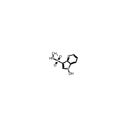 CNS(=O)(=O)c1cn(O)c2cccnc12